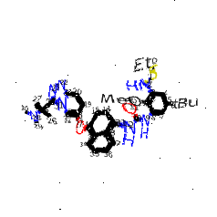 CCSNc1cc(C(C)(C)C)cc(NC(=O)NC2CCC(Oc3ccc4nnc(C(C)(C)N(C)C)n4c3)c3ccccc32)c1OC